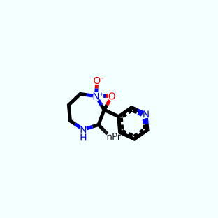 CCCC1NCCC[N+]2([O-])OC12c1cccnc1